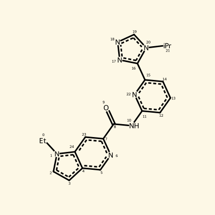 CCn1ccc2cnc(C(=O)Nc3cccc(-c4nncn4C(C)C)n3)cc21